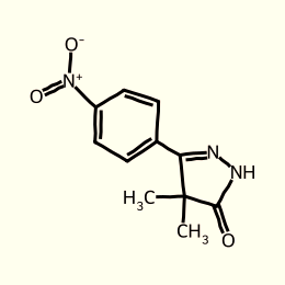 CC1(C)C(=O)NN=C1c1ccc([N+](=O)[O-])cc1